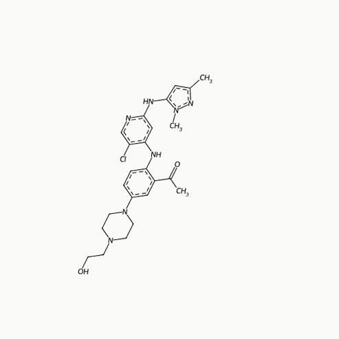 CC(=O)c1cc(N2CCN(CCO)CC2)ccc1Nc1cc(Nc2cc(C)nn2C)ncc1Cl